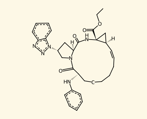 CCOC(=O)[C@@]12C[C@H]1/C=C\CCCCC[C@H](Nc1ccccc1)C(=O)N1C[C@H](n3nnc4ccccc43)C[C@H]1C(=O)N2